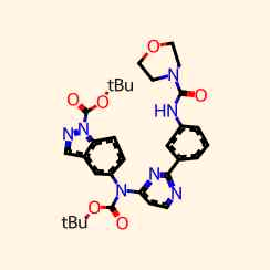 CC(C)(C)OC(=O)N(c1ccc2c(cnn2C(=O)OC(C)(C)C)c1)c1ccnc(-c2cccc(NC(=O)N3CCOCC3)c2)n1